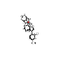 N#Cc1ccc(-c2csc3c(OC4C5COCC4CN(Cl)C5)ncnc23)c(Cl)c1